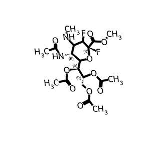 CNC1C(F)[C@](F)(C(=O)OC)OC([C@H](OC(C)=O)[C@@H](COC(C)=O)OC(C)=O)[C@@H]1NC(C)=O